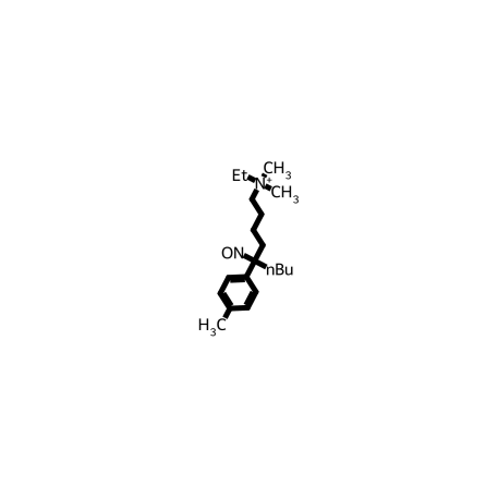 CCCCC(CCCC[N+](C)(C)CC)(N=O)c1ccc(C)cc1